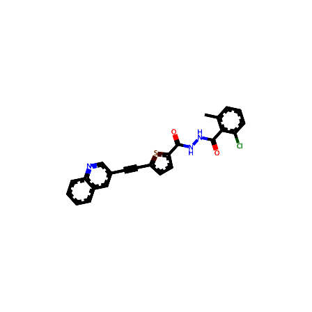 Cc1cccc(Cl)c1C(=O)NNC(=O)c1ccc(C#Cc2cnc3ccccc3c2)s1